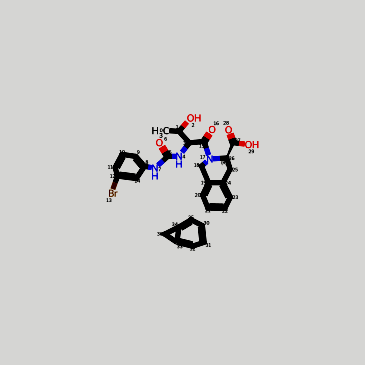 CC(O)C(NC(=O)Nc1cccc(Br)c1)C(=O)N1Cc2ccccc2C[C@@H]1C(=O)O.c1ccc2c(c1)C2